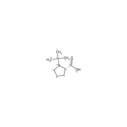 CC(C)(C)N1CCC[C@H]1C(=O)O